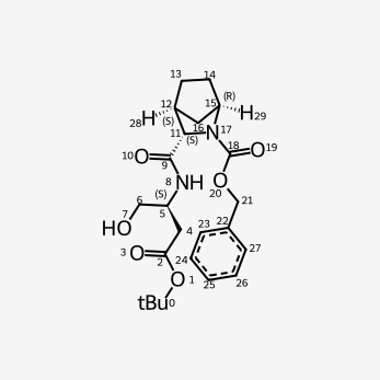 CC(C)(C)OC(=O)C[C@@H](CO)NC(=O)[C@@H]1[C@H]2CC[C@H](C2)N1C(=O)OCc1ccccc1